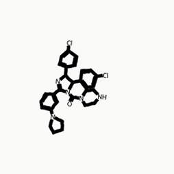 O=C(N1CCNCC1)N1C(c2cccc(N3CCCC3)c2)=NC(c2ccc(Cl)cc2)C1c1ccc(Cl)cc1